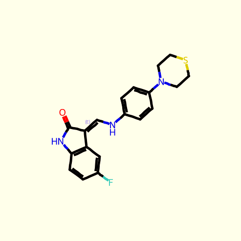 O=C1Nc2ccc(F)cc2/C1=C\Nc1ccc(N2CCSCC2)cc1